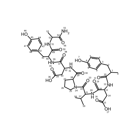 CC(Cc1ccc(O)cc1)C(=O)NC(CC(=O)O)C(=O)NC(C(=O)N1CCCC1C(=O)NC(CC(=O)O)C(=O)NC(Cc1ccc(O)cc1)C(=O)NC(C)C(N)=O)C(C)C